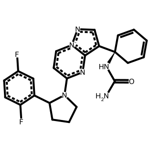 NC(=O)N[C@@]1(c2cnn3ccc(N4CCCC4c4cc(F)ccc4F)nc23)C=CC=CC1